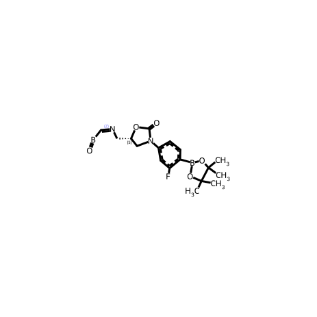 CC1(C)OB(c2ccc(N3C[C@H](C/N=C\B=O)OC3=O)cc2F)OC1(C)C